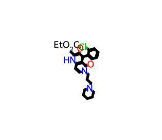 CCOC(=O)OC1=C(C)Nc2ccn(CCCN3CCCCC3)c(=O)c2C1c1ccccc1Cl